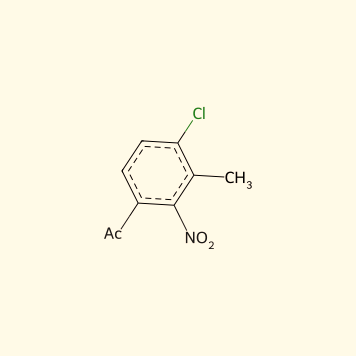 CC(=O)c1ccc(Cl)c(C)c1[N+](=O)[O-]